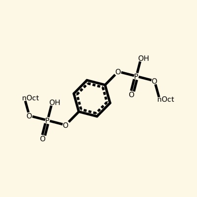 CCCCCCCCOP(=O)(O)Oc1ccc(OP(=O)(O)OCCCCCCCC)cc1